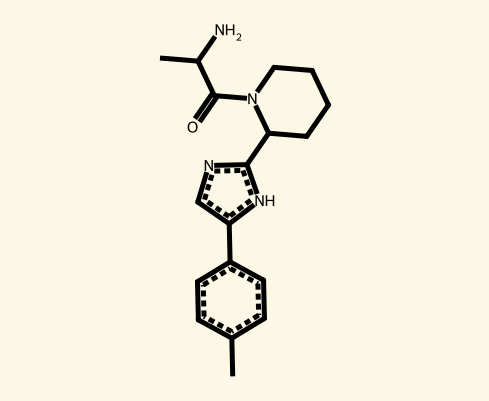 Cc1ccc(-c2cnc(C3CCCCN3C(=O)C(C)N)[nH]2)cc1